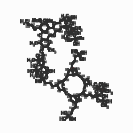 C=CCOC[C@H]1O[C@@H](O[C@H]2[C@H](C)[C@@H](OCCC[Si](O[Si](C)(O)O)(O[Si](C)(O)O)O[Si](C)(O)O[Si](O)(O)CCCC3CC4CC(C3)CC3CC(CCC[Si](O)(O)O)CC(C(CCC[Si](O[Si](C)(O)O)(O[Si](C)(O)O)O[Si](C)(O)O)CC5CCC5CC5CC(CCC[Si](O)(O)O)CC(C4)C5O)C3O)[C@H](C)O[C@@H]2COCCC[Si](O[Si](C)(O)O)(O[Si](C)(O)O)O[Si](C)(O)O[Si](O)(O)CCCC)[C@H](OCC=C)[C@@H](OC)[C@@H]1OC